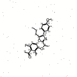 CCCc1oc(C(C)Oc2ccc(F)c(C(C)=O)c2F)nc1-c1ccc(OC)cc1